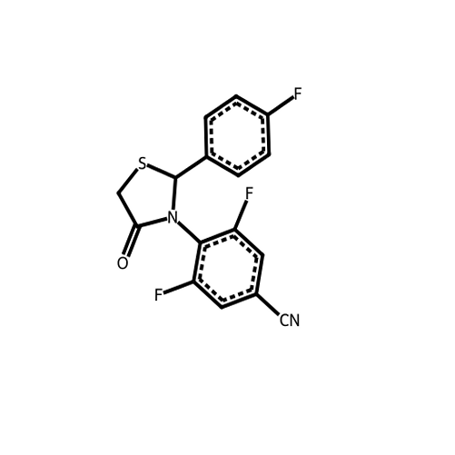 N#Cc1cc(F)c(N2C(=O)CSC2c2ccc(F)cc2)c(F)c1